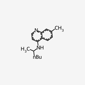 CCCCC(C)Nc1ccnc2cc(C)ccc12